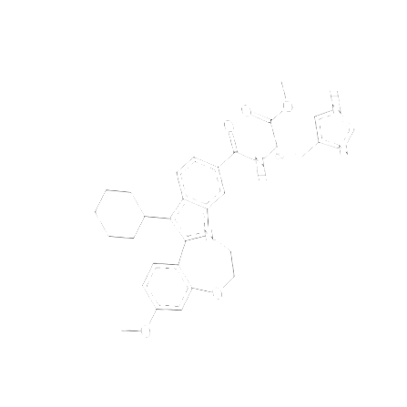 COC(=O)[C@H](Cc1c[nH]cn1)NC(=O)c1ccc2c(C3CCCCC3)c3n(c2c1)CCOc1cc(OC)ccc1-3